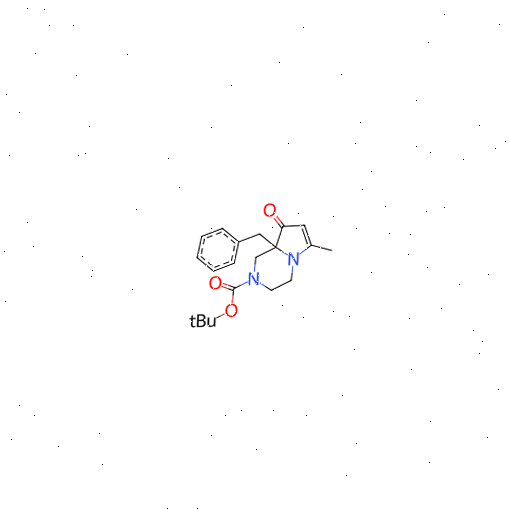 CC1=CC(=O)C2(Cc3ccccc3)CN(C(=O)OC(C)(C)C)CCN12